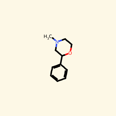 CN1CCOC(c2ccccc2)C1